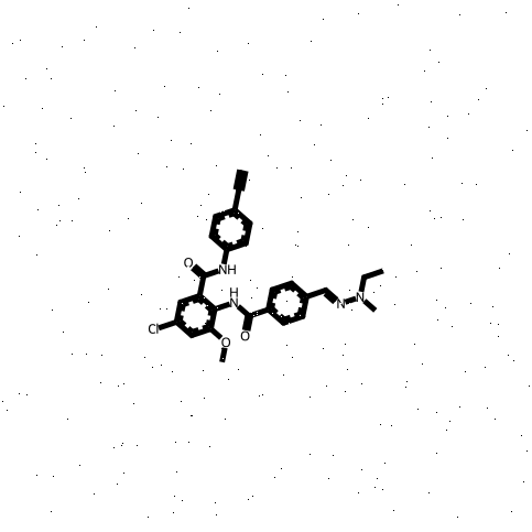 C#Cc1ccc(NC(=O)c2cc(Cl)cc(OC)c2NC(=O)c2ccc(C=NN(C)CC)cc2)cc1